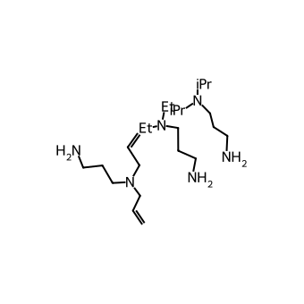 C=CCN(CC=C)CCCN.CC(C)N(CCCN)C(C)C.CCN(CC)CCCN